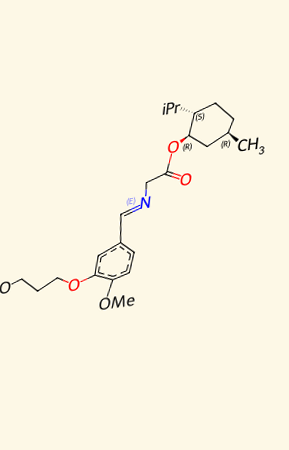 COCCCOc1cc(/C=N/CC(=O)O[C@@H]2C[C@H](C)CC[C@H]2C(C)C)ccc1OC